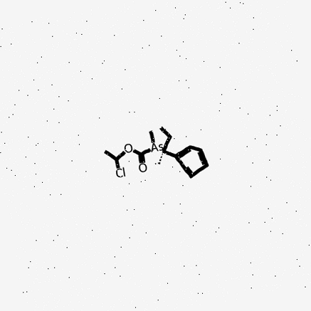 [CH2][C@](CC)(c1ccccc1)[As](C)C(=O)OC(C)Cl